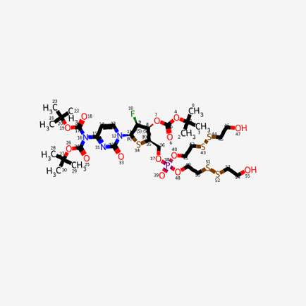 CC(C)(C)OC(=O)O[C@H]1[C@H](F)[C@H](n2ccc(N(C(=O)OC(C)(C)C)C(=O)OC(C)(C)C)nc2=O)S[C@@H]1COP(=O)(OCCSSCCO)OCCSSCCO